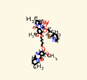 C=C1CC[C@H]2C=Nc3cc(OCCCCCOc4cc5c(cc4OC)C(=O)N4CC(=C)C[C@H]4[C@H](O)N5C(=O)OC[C@@H](C)SSc4ccccn4)c(OC)cc3C(=O)N2C1